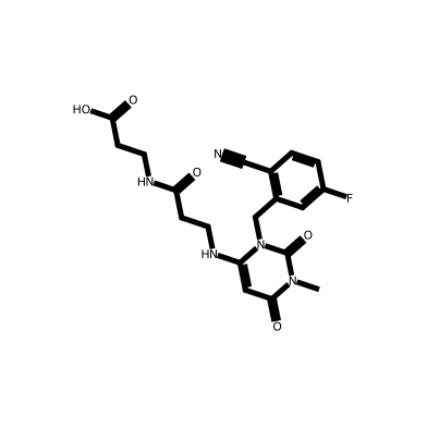 Cn1c(=O)cc(NCCC(=O)NCCC(=O)O)n(Cc2cc(F)ccc2C#N)c1=O